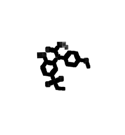 CCS(=O)(=O)c1ccc(O)c(N(C(N)=O)c2ccc(OC)cc2)c1